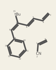 C=CC#N.C=CC=CC(=Cc1ccccc1)C(C)(C)C